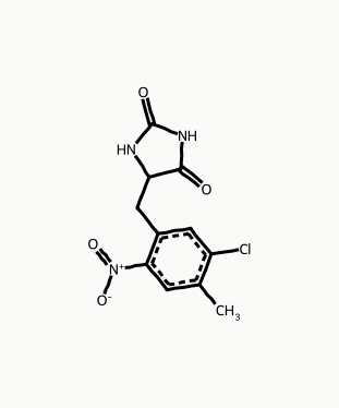 Cc1cc([N+](=O)[O-])c(CC2NC(=O)NC2=O)cc1Cl